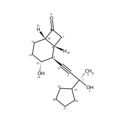 C[C@@](O)(C#C[C@@H]1[C@H]2CC(=O)[C@H]2CC[C@H]1O)C1CCCC1